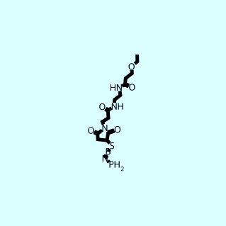 CCOCCC(=O)NCCNC(=O)CCN1C(=O)CC(S/B=N/P)C1=O